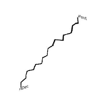 [CH2]C(CCC)CCCCCCCCCCCCCCCCCCCCCCCCCC